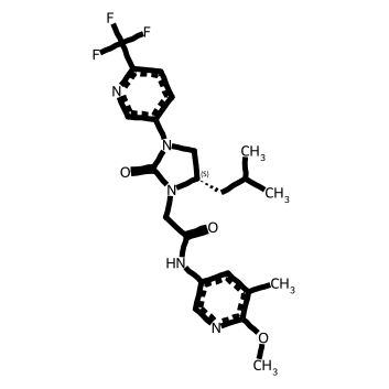 COc1ncc(NC(=O)CN2C(=O)N(c3ccc(C(F)(F)F)nc3)C[C@@H]2CC(C)C)cc1C